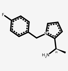 C[C@@H](N)c1cccn1Cc1ccc(F)cc1